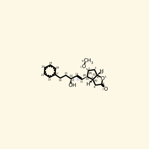 CO[C@@H]1C[C@@H]2OC(=O)C[C@@H]2[C@H]1/C=C/[C@@H](O)CCc1ccccc1